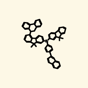 CC1(C)c2ccccc2-c2ccc(N(c3ccc(-c4ccc5ccccc5c4)cc3)c3ccc4c(c3)C(C)(C)c3cccc(C5Cc6ccccc6-c6ccccc65)c3-4)cc21